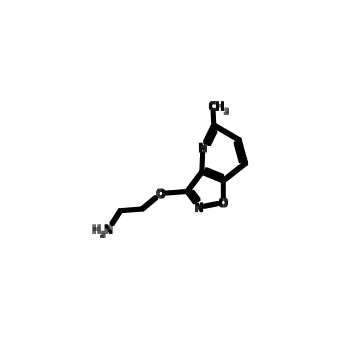 Cc1ccc2onc(OCCN)c2n1